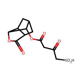 O=C(CC(=O)OC1C2CC3C(=O)OC1C3C2)CS(=O)(=O)O